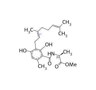 COC(=O)[C@H](C)NC(=O)c1c(C)cc(O)c(C/C=C(\C)CCC=C(C)C)c1O